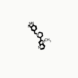 Cn1c(C2CCCN(Cc3ccc4nsnc4c3)C2)cc2ncccc21